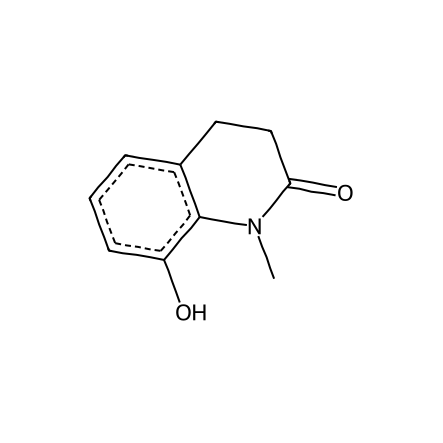 CN1C(=O)CCc2cccc(O)c21